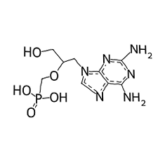 Nc1nc(N)c2ncn(CC(CO)OCP(=O)(O)O)c2n1